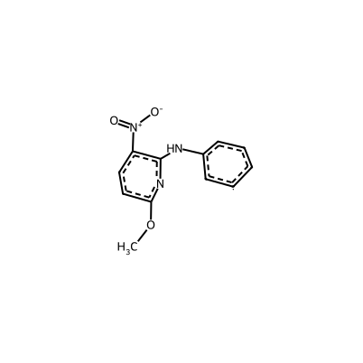 COc1ccc([N+](=O)[O-])c(Nc2c[c]ccc2)n1